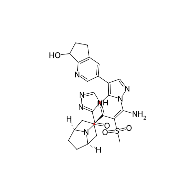 CS(=O)(=O)c1c([C@H]2C[C@H]3CC[C@@H](C2)N3C(=O)c2nnc[nH]2)nc2c(-c3cnc4c(c3)CCC4O)cnn2c1N